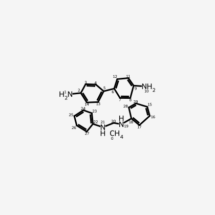 C.Nc1ccc(-c2ccc(N)cc2)cc1.c1ccc(NCNc2ccccc2)cc1